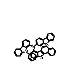 c1ccc(-n2c3ccccc3c3cccc(N(c4ccc5c(c4)sc4ccccc45)c4cccc5sc6c7ccccc7ccc6c45)c32)cc1